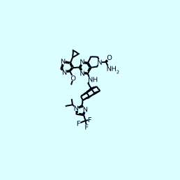 COc1ncnc(C2CC2)c1-c1nc2c(c(NCC34C5C6C3C3C4C5C63c3nc(C(F)(F)F)cn3C(C)C)n1)CN(C(N)=O)CC2